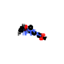 NC(=O)C12CC3C[C@H](C1)C(NC(=O)N1CCN(c4ccc(N5CCN(S(=O)(=O)C6CC6)CC5)cn4)c4ccccc41)[C@@H](C3)C2